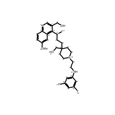 COc1ccc2ncc(CO)c([C@@H](F)CCC3(CO)CCN(CCNc4cc(F)cc(F)c4)CC3)c2c1